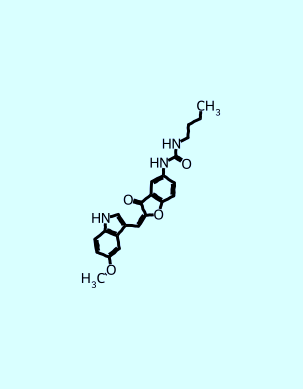 CCCCNC(=O)Nc1ccc2c(c1)C(=O)C(=Cc1c[nH]c3ccc(OC)cc13)O2